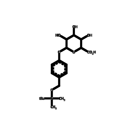 CC(C)(C)[Si](C)(C)OCc1ccc(OC2OC(C(=O)O)C(O)C(O)C2O)cc1